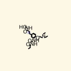 CCC(=O)NC(=O)Nc1cc(/C=C/C(=O)NO)ccc1OCCN(CC)CC